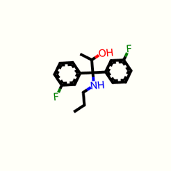 CCCNC(c1cccc(F)c1)(c1cccc(F)c1)C(C)O